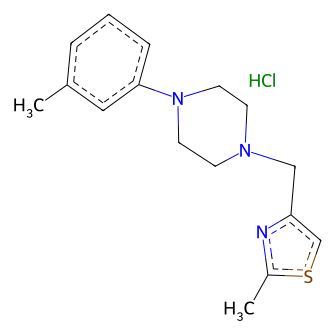 Cc1cccc(N2CCN(Cc3csc(C)n3)CC2)c1.Cl